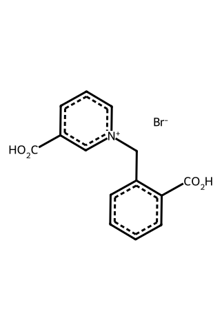 O=C(O)c1ccc[n+](Cc2ccccc2C(=O)O)c1.[Br-]